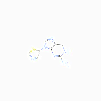 NC1=Nc2c(ncn2-c2cncs2)CN1